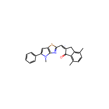 Cc1ccc(C)c2c1C/C(=C/c1nc3c(cc(-c4ccccc4)n3C)s1)C2=O